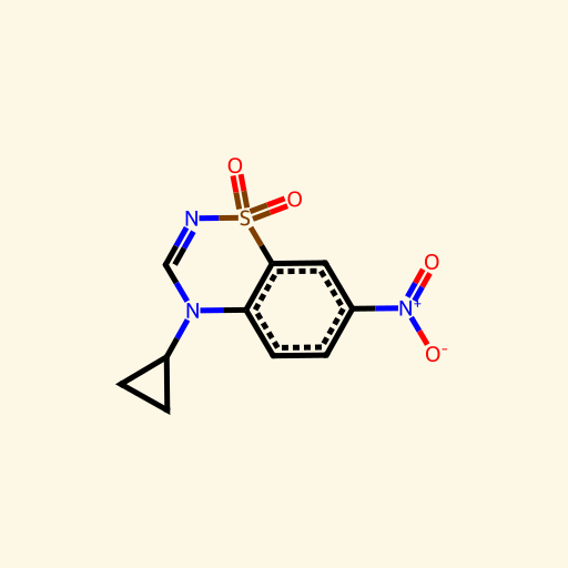 O=[N+]([O-])c1ccc2c(c1)S(=O)(=O)N=CN2C1CC1